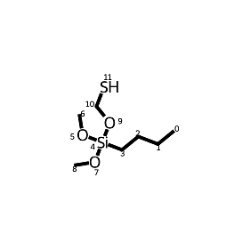 CCCC[Si](OC)(OC)OCS